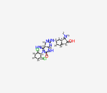 CN(C)[C@@H]1c2cc(Nc3ncc4c(=N)n(-c5c(Cl)cccc5Cl)c(=O)[nH]c4n3)ccc2C[C@@H]1O